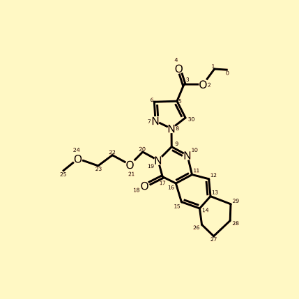 CCOC(=O)c1cnn(-c2nc3cc4c(cc3c(=O)n2COCCOC)CCCC4)c1